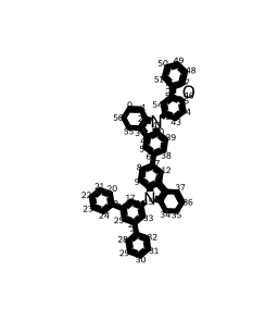 C1=Cc2c(c3cc(-c4ccc5c(c4)c4c(n5-c5cc(-c6ccccc6)cc(-c6ccccc6)c5)CCC=C4)ccc3n2-c2ccc3oc4ccccc4c3c2)CC1